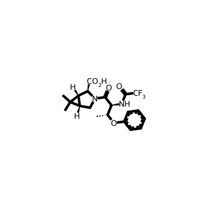 C[C@@H](Oc1ccccc1)[C@H](NC(=O)C(F)(F)F)C(=O)N1C[C@H]2[C@@H]([C@H]1C(=O)O)C2(C)C